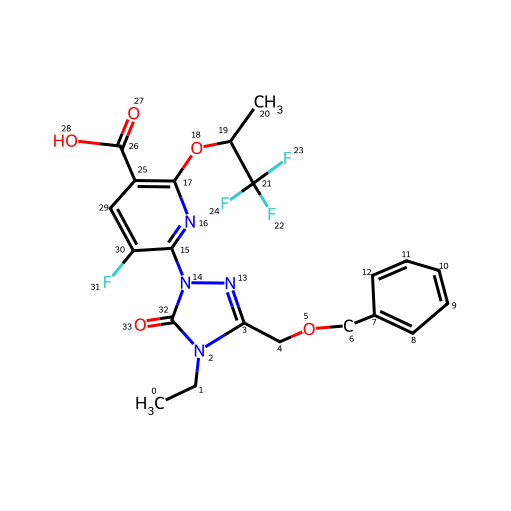 CCn1c(COCc2ccccc2)nn(-c2nc(OC(C)C(F)(F)F)c(C(=O)O)cc2F)c1=O